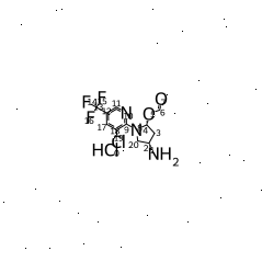 Cl.N[C@@H]1C[C@H](OC=O)N(c2ncc(C(F)(F)F)cc2Cl)C1